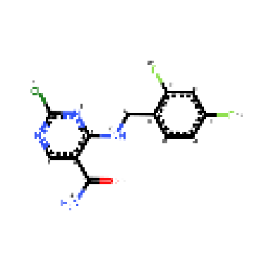 NC(=O)c1cnc(Cl)nc1NCc1ccc(F)cc1F